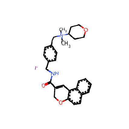 C[N+](C)(Cc1ccc(CNC(=O)C2=Cc3c(ccc4ccccc34)OC2)cc1)C1CCOCC1.[I-]